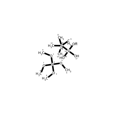 CO[Si](OC)(OC)OC.C[SH](C)(C)(C)[Si](O)(O)O